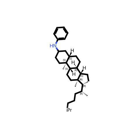 CC(C)CCC[C@@H](C)[C@H]1CC[C@H]2[C@@H]3CC[C@H]4CC(Nc5ccccc5)CC[C@]4(C)[C@H]3CC[C@]12C